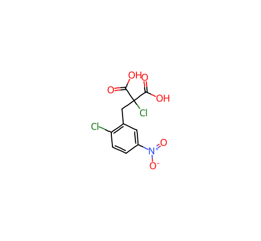 O=C(O)C(Cl)(Cc1cc([N+](=O)[O-])ccc1Cl)C(=O)O